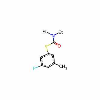 CCN(CC)C(=O)Sc1cc(C)cc(F)c1